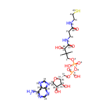 CC(C)(COP(=O)(O)OP(=O)(O)OC[C@H]1O[C@@H](n2cnc3c(N)ncnc32)[C@H](O)[C@@H]1O)[C@@H](O)C(=O)NCCC(=O)NCCS